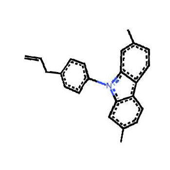 C=CCc1ccc(-n2c3cc(C)ccc3c3ccc(C)cc32)cc1